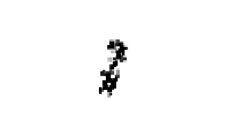 CC1(C)OCC(C)(C)C(C(=O)NCCNC(=O)c2cc(F)c(F)cc2F)O1